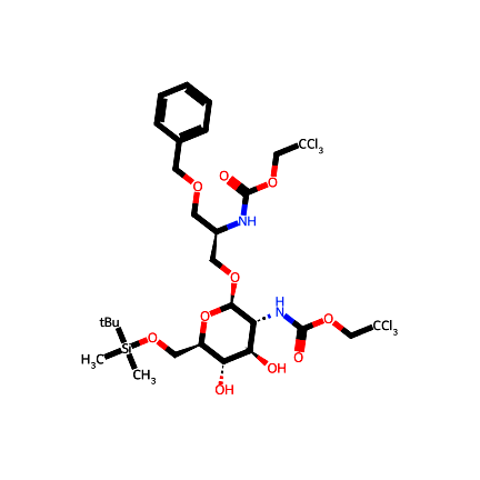 CC(C)(C)[Si](C)(C)OC[C@H]1O[C@@H](OC[C@@H](COCc2ccccc2)NC(=O)OCC(Cl)(Cl)Cl)[C@H](NC(=O)OCC(Cl)(Cl)Cl)[C@@H](O)[C@@H]1O